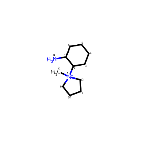 C[N+]1(C2CCCCC2N)CCCC1